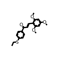 CCSc1ccc(C(=O)C=Cc2c(OC)cc(OC)cc2OC)cc1